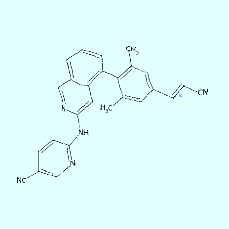 Cc1cc(/C=C/C#N)cc(C)c1-c1cccc2cnc(Nc3ccc(C#N)cn3)cc12